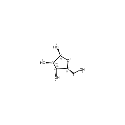 OC[C@@H]1O[C@H](O)[C@H](O)[C@@H]1O